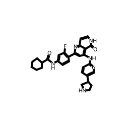 O=C(Nc1ccc(-c2cc(Nc3ccc(C4CCNC4)cn3)c3c(=O)[nH]ccc3n2)c(F)c1)C1CCCCC1